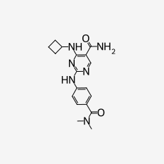 CN(C)C(=O)c1ccc(Nc2ncc(C(N)=O)c(NC3CCC3)n2)cc1